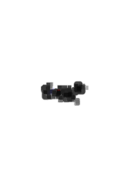 C/C(=C\c1ccc2c(c1)NCC(C(C)OC(=O)c1ccc([N+](=O)[O-])cc1)O2)c1c(F)cccc1Cl